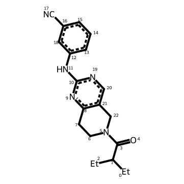 CCC(CC)C(=O)N1CCc2nc(Nc3cccc(C#N)c3)ncc2C1